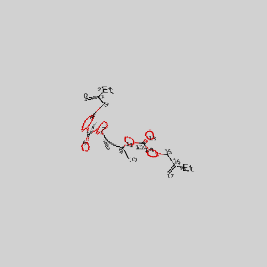 C=C(CC)COC(=O)OCC(C)OC(=O)OCC(=C)CC